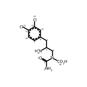 NC(=O)N(CC(N)Cc1ccc(Cl)c(Cl)c1)C(=O)O